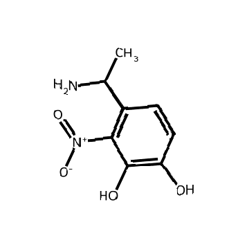 CC(N)c1ccc(O)c(O)c1[N+](=O)[O-]